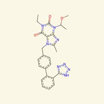 CCn1c(=O)c2c(nc(C)n2Cc2ccc(-c3ccccc3-c3nnn[nH]3)cc2)n(C(C)OC)c1=O